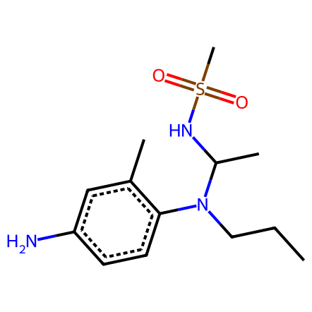 CCCN(c1ccc(N)cc1C)C(C)NS(C)(=O)=O